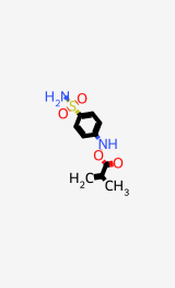 C=C(C)C(=O)ONc1ccc(S(N)(=O)=O)cc1